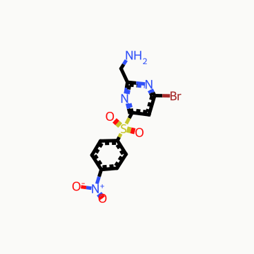 NCc1nc(Br)cc(S(=O)(=O)c2ccc([N+](=O)[O-])cc2)n1